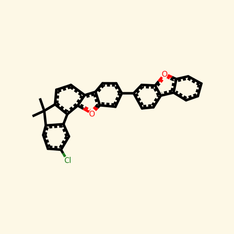 CC1(C)c2ccc(Cl)cc2-c2c1ccc1c2oc2cc(-c3ccc4c(c3)oc3ccccc34)ccc21